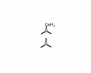 CN(C)C.C[N](C)[GeH3]